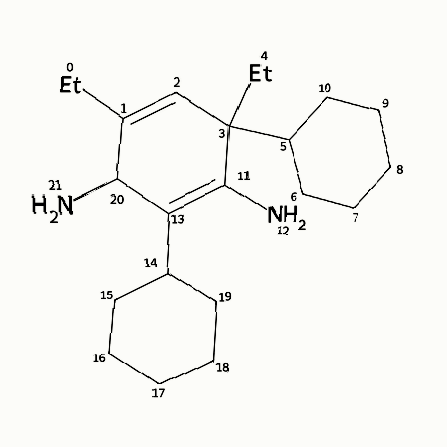 CCC1=CC(CC)(C2CCCCC2)C(N)=C(C2CCCCC2)C1N